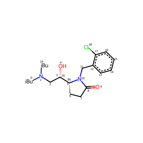 CCC(C)N(C[C@H](O)[C@H]1CCC(=O)N1Cc1ccccc1Cl)C(C)CC